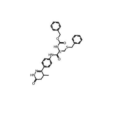 CC1CC(=O)NN=C1c1ccc(NC(=O)[C@H](CSCc2ccccc2)NC(=O)OCc2ccccc2)cc1